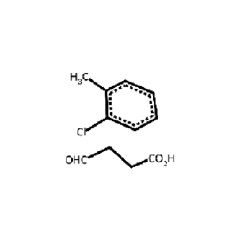 Cc1ccccc1Cl.O=CCCC(=O)O